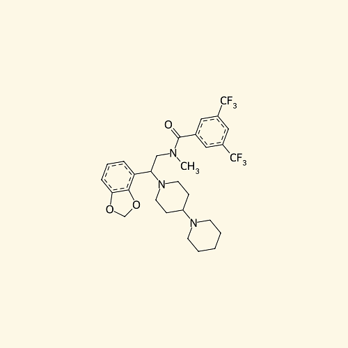 CN(CC(c1cccc2c1OCO2)N1CCC(N2CCCCC2)CC1)C(=O)c1cc(C(F)(F)F)cc(C(F)(F)F)c1